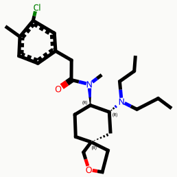 CCCN(CCC)[C@@H]1C[C@@]2(CCOC2)CC[C@H]1N(C)C(=O)Cc1ccc(C)c(Cl)c1